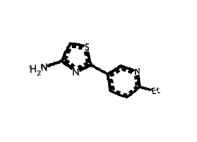 CCc1ccc(-c2nc(N)cs2)cn1